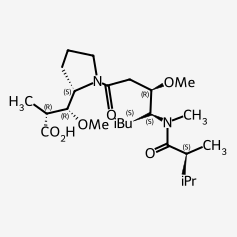 CC[C@H](C)[C@@H]([C@@H](CC(=O)N1CCC[C@H]1[C@H](OC)[C@@H](C)C(=O)O)OC)N(C)C(=O)[C@@H](C)C(C)C